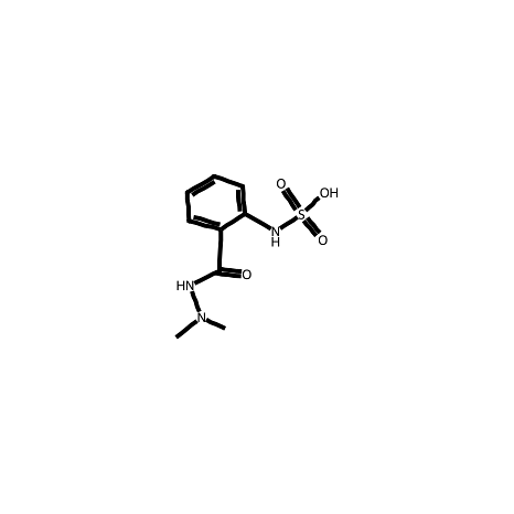 CN(C)NC(=O)c1ccccc1NS(=O)(=O)O